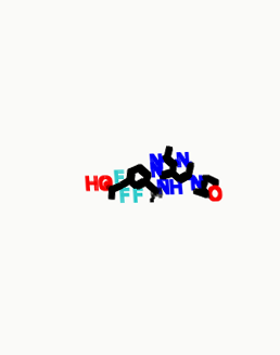 Cc1nnc(N[C@H](C)c2cccc(C(F)(F)C(C)O)c2F)c2cc(N3CC4CC3CO4)cnc12